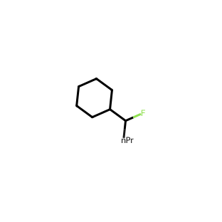 CCCC(F)C1CCCCC1